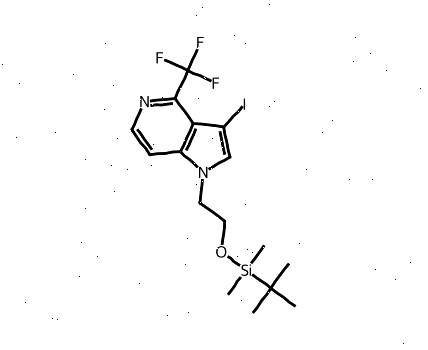 CC(C)(C)[Si](C)(C)OCCn1cc(I)c2c(C(F)(F)F)nccc21